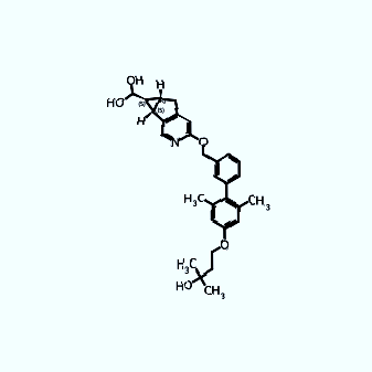 Cc1cc(OCCC(C)(C)O)cc(C)c1-c1cccc(COc2cc3c(cn2)[C@H]2[C@@H](C3)[C@@H]2C(O)O)c1